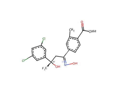 COC(=O)c1ccc(/C(C[C@](O)(c2cc(Cl)cc(Cl)c2)C(F)(F)F)=N\O)cc1C